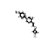 CCc1cnc(N2CCC(CCOC3CNC3)CC2)nc1.Cl